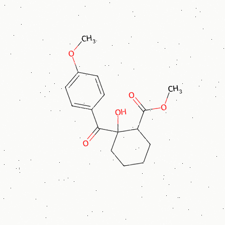 COC(=O)C1CCCCC1(O)C(=O)c1ccc(OC)cc1